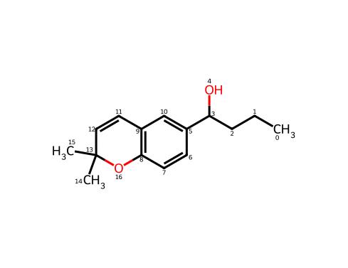 CCCC(O)c1ccc2c(c1)C=CC(C)(C)O2